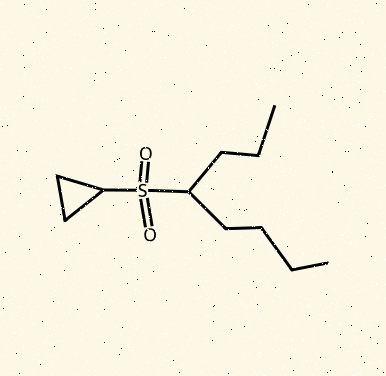 CCCCC(CCC)S(=O)(=O)C1CC1